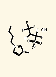 CCCC[n+]1ccn(C)c1.Cl.O=S(=O)([O-])C(F)(F)C(F)C(F)(F)F